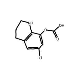 O=C(O)Oc1cc(Cl)cc2c1NCCC2